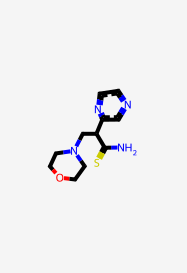 NC(=S)C(CN1CCOCC1)c1cnccn1